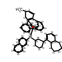 CC1C=CC2=C3c4ccccc4-c4cccc2c4-c2cc(N(c4ccc5ccccc5c4)C4CCCC(C5=CC=CC6CCCCCC56)C4)ccc2C31